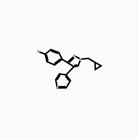 Fc1ccc(-c2nn(CC3CC3)cc2-c2ccncc2)cc1